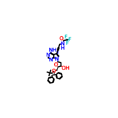 CC(C)(C)[Si](OC[C@H]1O[C@@H](n2cc(C#CCNC(=O)C(F)(F)F)c3c(N)ncnc32)C[C@H]1O)(c1ccccc1)c1ccccc1